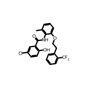 Cc1cccc(OCCc2ccccc2C(F)(F)F)c1NC(=O)c1cc(Cl)ccc1O